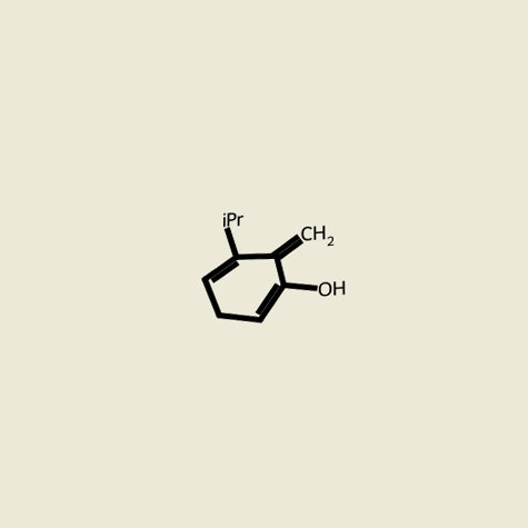 C=C1C(O)=CCC=C1C(C)C